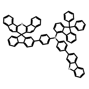 c1ccc(C2(c3ccccc3)c3ccccc3-c3c(N(c4ccc(-c5ccc6c(c5)C5(c7ccccc7-6)c6ccc7ccccc7c6Oc6c5ccc5ccccc65)cc4)c4ccc(-c5ccc6c(c5)oc5ccccc56)cc4)cccc32)cc1